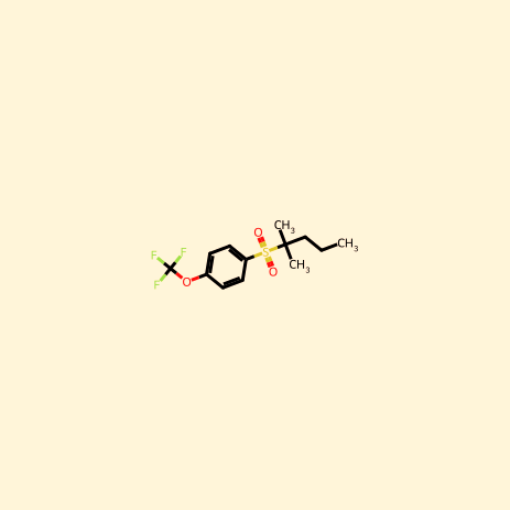 CCCC(C)(C)S(=O)(=O)c1ccc(OC(F)(F)F)cc1